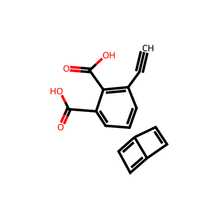 C#Cc1cccc(C(=O)O)c1C(=O)O.c1cc2ccc1-2